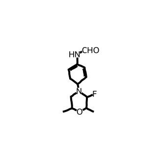 CC1CN(C2C=CC(NC=O)=CC2)C(F)C(C)O1